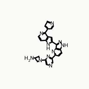 NC1CN(c2cncc(-c3ccc4[nH]nc(-c5cc6c(-c7ccncc7)nccc6[nH]5)c4n3)n2)C1